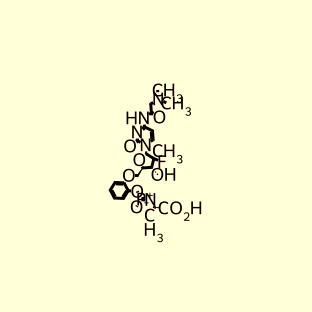 C[C@H](/N=[P+](\[O-])Oc1ccccc1OC[C@H]1O[C@@H](n2ccc(NC(=O)CN(C)C)nc2=O)[C@](C)(F)[C@@H]1O)C(=O)O